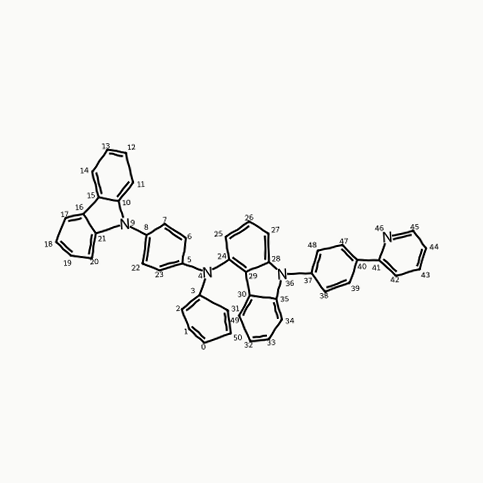 c1ccc(N(c2ccc(-n3c4ccccc4c4ccccc43)cc2)c2cccc3c2c2ccccc2n3-c2ccc(-c3ccccn3)cc2)cc1